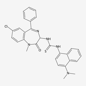 CN(C)c1ccc(NC(=S)NC2N=C(c3ccccc3)c3cc(Cl)ccc3N(C)C2=O)c2ccccc12